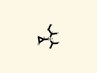 CCC(C)N(C(C)C)C1CC1